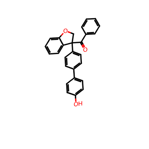 O=C(c1ccccc1)C1(c2ccc(-c3ccc(O)cc3)cc2)COc2ccccc21